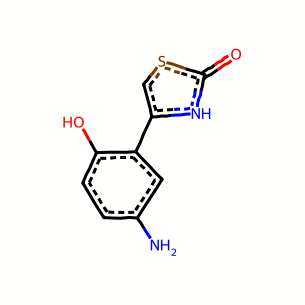 Nc1ccc(O)c(-c2csc(=O)[nH]2)c1